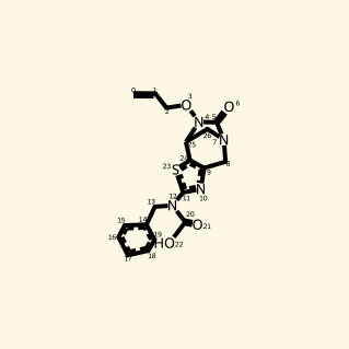 C=CCON1C(=O)N2Cc3nc(N(Cc4ccccc4)C(=O)O)sc3C1C2